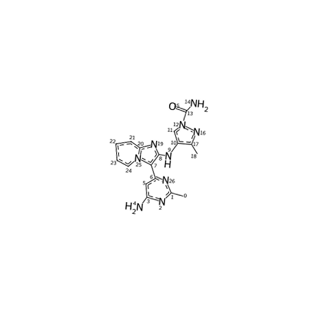 Cc1nc(N)cc(-c2c(Nc3cn(C(N)=O)nc3C)nc3ccccn23)n1